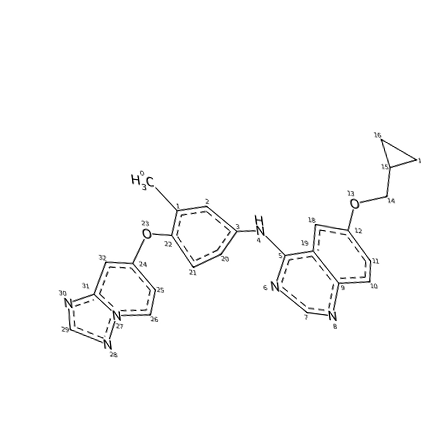 Cc1cc(Nc2ncnc3ccc(OCC4CC4)cc23)ccc1Oc1ccn2ncnc2c1